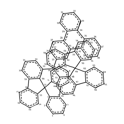 c1ccc2c(c1)-c1ccccc1C21c2ccccc2-c2cccc(N(c3ccc4c5ccccc5c5ccccc5c4c3)c3cccc4c3C3(c5ccccc5-c5ccccc53)c3ccccc3-4)c21